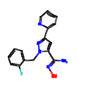 N/C(=N\O)c1cc(-c2ccccn2)nn1Cc1ccccc1F